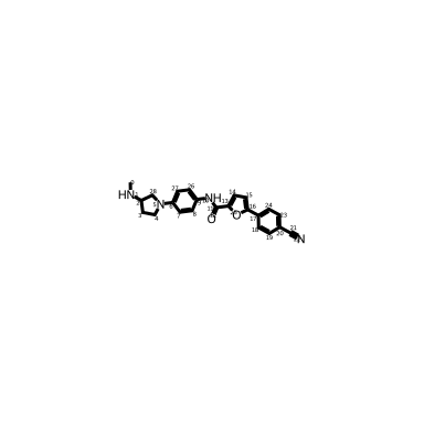 CNC1CCN(c2ccc(NC(=O)c3ccc(-c4ccc(C#N)cc4)o3)cc2)C1